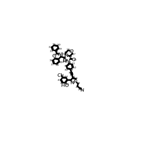 N#CCCn1cc(C#Cc2ccc(NC(=O)[C@@H]3COCCN3C(=O)[C@H](NC(=O)c3ccccc3)c3ccccc3)cc2)c(-c2cc(Cl)ccc2O)n1